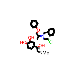 CC(COc1ccccc1)N(CCCl)Cc1ccccc1.CNC[C@H](O)c1ccc(O)c(O)c1